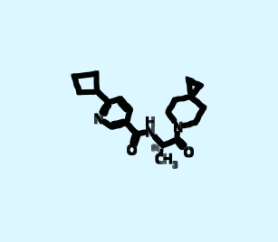 C[C@H](NC(=O)c1ccc(C2CCC2)nc1)C(=O)N1CCC2(CC1)CC2